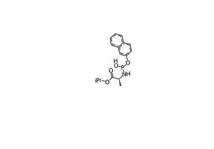 CC(C)OC(=O)[C@H](C)NP(O)Oc1ccc2ccccc2c1